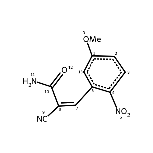 COc1ccc([N+](=O)[O-])c(C=C(C#N)C(N)=O)c1